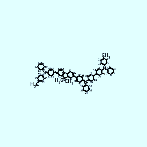 Cc1ccc(N(c2ccccc2)c2ccc(-c3ccc(N(c4ccccc4)c4ccc(-c5ccc6c(c5)C(C)(C)c5cc(-c7ccc(N(c8ccccc8)c8ccc(C)cc8)cc7)ccc5-6)cc4)cc3)cc2)cc1